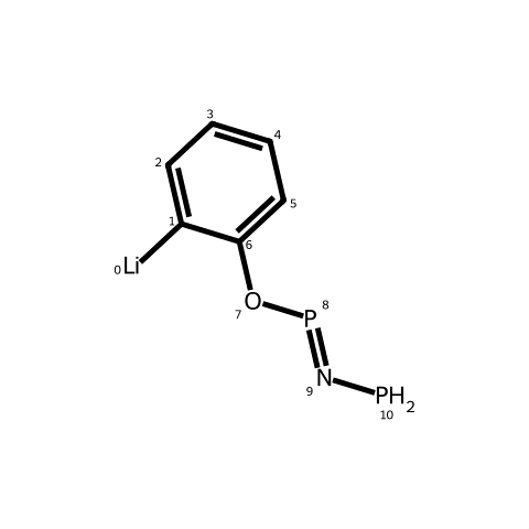 [Li][c]1ccccc1OP=NP